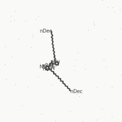 CCCCCCCCCCCCCCCCCCCCCCCCC=CCCc1ccccc1C1=CC(CCCC)=C(c2ccccc2CCC=CCCCCCCCCCCCCCCCCCCCCCCCC)[N+]1=[N-].CCC[CH2][Ni][CH2]CCC